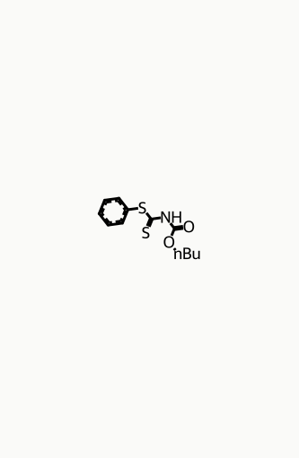 CCCCOC(=O)NC(=S)Sc1ccccc1